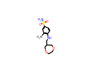 NS(=O)(=O)c1ccc(NCC2COCCOC2)c([N+](=O)[O-])c1